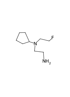 NCCN(CCF)C1CCCC1